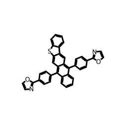 c1ccc2c(c1)sc1cc3c(-c4ccc(-c5ncco5)cc4)c4ccccc4c(-c4ccc(-c5ncco5)cc4)c3cc12